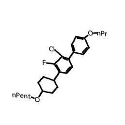 CCCCCOC1CCC(c2ccc(-c3ccc(OCCC)cc3)c(Cl)c2F)CC1